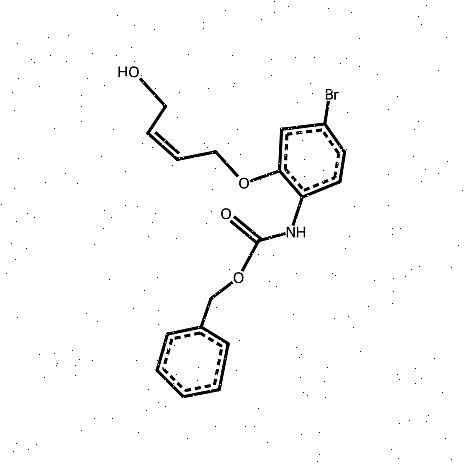 O=C(Nc1ccc(Br)cc1OC/C=C\CO)OCc1ccccc1